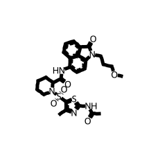 COCCCN1C(=O)c2cccc3c(NC(=O)C4CCCCN4S(=O)(=O)c4sc(NC(C)=O)nc4C)ccc1c23